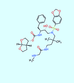 CNCC(=O)NCCC(C)(C)CN(C[C@@H](O)[C@H](Cc1ccccc1)NC(=O)O[C@H]1CO[C@H]2OCC[C@H]21)S(=O)(=O)c1ccc2c(c1)OCO2